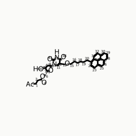 CC(=O)CCC(=O)OC[C@H]1O[C@@H](n2cc(COCCCCCCc3ccc4ccc5cccc6ccc3c4c56)c(=O)[nH]c2=O)C[C@@H]1O